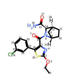 CCOc1nc(C(=O)N2[C@H]3CC[C@@H](C3)[C@@H]2C(N)=O)c(-c2cccc(Cl)c2)s1